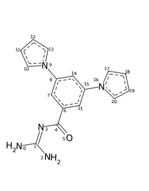 NC(N)=NC(=O)c1cc(-n2cccc2)cc(-n2cccc2)c1